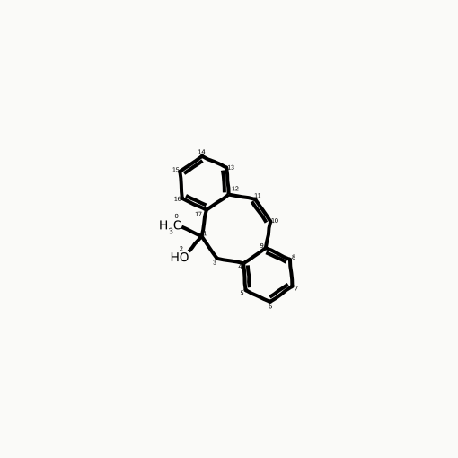 CC1(O)Cc2ccccc2/C=C\c2ccccc21